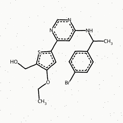 CCOc1cc(-c2cc(NC(C)c3ccc(Br)cc3)ncn2)sc1CO